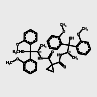 COc1ccccc1C(O)(c1ccccc1OC)[C@@H](C)NC(=O)C1(C(=O)N[C@H](C)C(O)(c2ccccc2OC)c2ccccc2OC)CC1